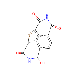 O=C1NC(=O)c2sc3c4c(ccc1c24)C(O)NC3=O